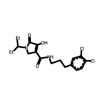 CCC(CC)N1CC(C(=O)NCCCc2ccc(Cl)c(Cl)c2)=C(O)C1=O